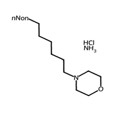 CCCCCCCCCCCCCCCN1CCOCC1.Cl.N